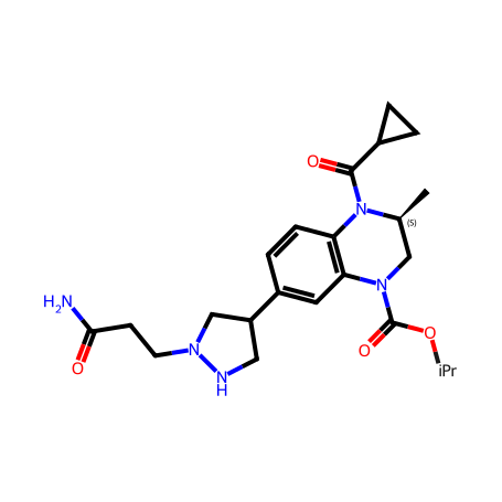 CC(C)OC(=O)N1C[C@H](C)N(C(=O)C2CC2)c2ccc(C3CNN(CCC(N)=O)C3)cc21